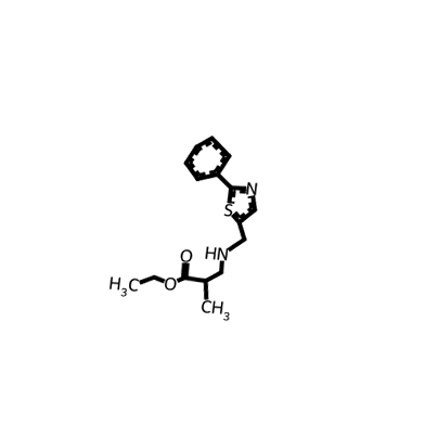 CCOC(=O)C(C)CNCc1cnc(-c2ccccc2)s1